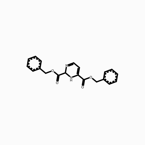 O=C(OCc1ccccc1)C1=CC=NC(C(=O)OCc2ccccc2)N1